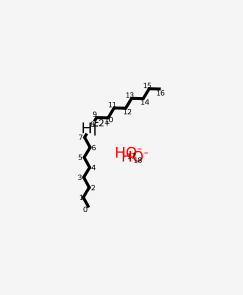 CCCCCCC[CH2][Hf+2][CH2]CCCCCCC.[OH-].[OH-]